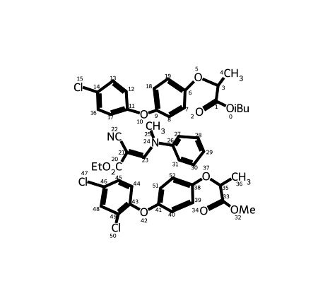 CC(C)COC(=O)C(C)Oc1ccc(Oc2ccc(Cl)cc2)cc1.CCOC(=O)C(C#N)=CN(C)c1ccccc1.COC(=O)C(C)Oc1ccc(Oc2ccc(Cl)cc2Cl)cc1